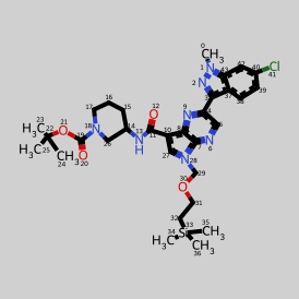 Cn1nc(-c2cnc3c(n2)c(C(=O)NC2CCCN(C(=O)OC(C)(C)C)C2)cn3COCC[Si](C)(C)C)c2ccc(Cl)cc21